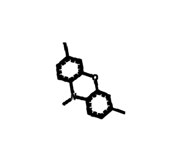 Cc1ccc2c(c1)Oc1cc(C)ccc1N2C